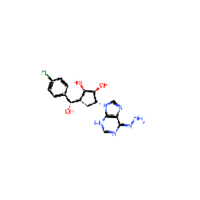 N/N=c1/nc[nH]c2c1ncn2[C@@H]1C[C@H]([C@H](O)c2ccc(Cl)cc2)[C@@H](O)[C@H]1O